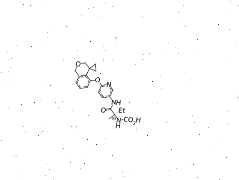 CC[C@@](C)(NC(=O)O)C(=O)Nc1ccc(Oc2cccc3c2C2(CC2)COC3)nc1